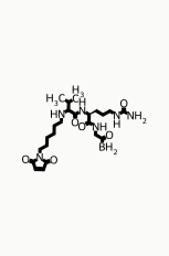 BC(=O)CNC(=O)[C@H](CCCNC(N)=O)NC(=O)C(NCCCCCCN1C(=O)C=CC1=O)C(C)C